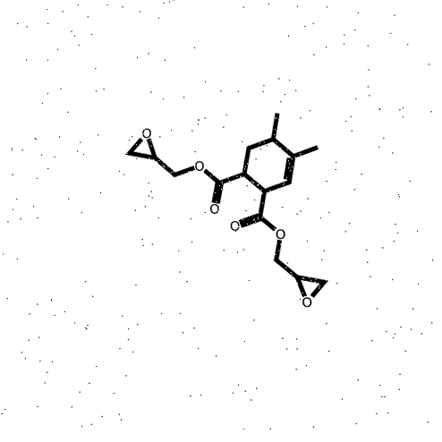 CC1=CC(C(=O)OCC2CO2)C(C(=O)OCC2CO2)CC1C